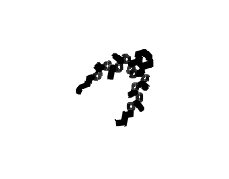 CCCCOC(C)OC(C)OC(C)OC(=O)c1ccccc1C(=O)OC(C)OC(C)OC(C)OCCCC